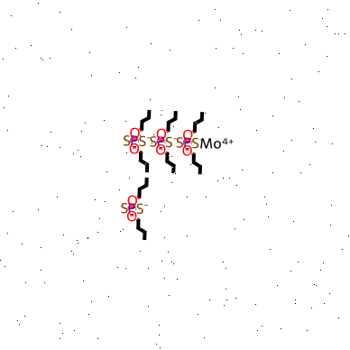 CCCCOP(=S)([S-])OCCCC.CCCCOP(=S)([S-])OCCCC.CCCCOP(=S)([S-])OCCCC.CCCCOP(=S)([S-])OCCCC.[Mo+4]